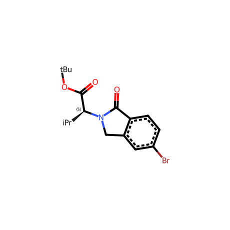 CC(C)[C@@H](C(=O)OC(C)(C)C)N1Cc2cc(Br)ccc2C1=O